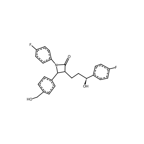 O=C1C(CC[C@H](O)c2ccc(F)cc2)C(c2ccc(CO)cc2)N1c1ccc(F)cc1